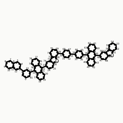 c1cc(-c2ccc3ccccc3c2)cc(-c2c3ccccc3c(-c3ccc4oc5c(-c6ccc(-c7ccc(-c8c9ccccc9c(-c9ccc%10oc%11ccccc%11c%10c9)c9ccccc89)cc7)cc6)cccc5c4c3)c3ccccc23)c1